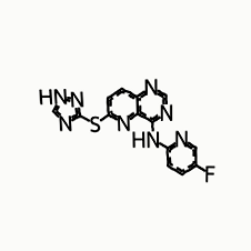 Fc1ccc(Nc2ncnc3ccc(Sc4nc[nH]n4)nc23)nc1